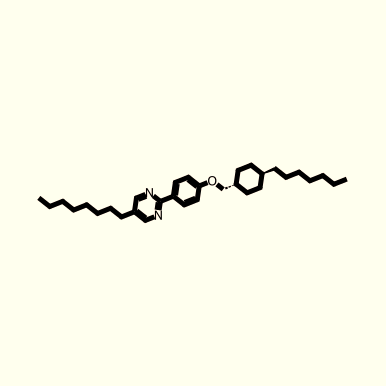 CCCCCCCCc1cnc(-c2ccc(OC[C@H]3CC[C@H](CCCCCCC)CC3)cc2)nc1